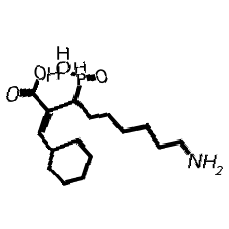 NCCCCCCC(/C(=C\C1CCCCC1)C(=O)O)[PH](=O)O